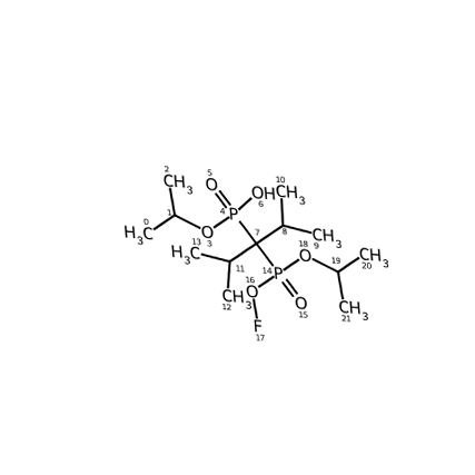 CC(C)OP(=O)(O)C(C(C)C)(C(C)C)P(=O)(OF)OC(C)C